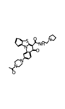 CC(=O)N1CCN(c2ccc3c(=O)c(C(=O)NCCN4CCCC4)c4sc5ccccc5n4c3c2)CC1